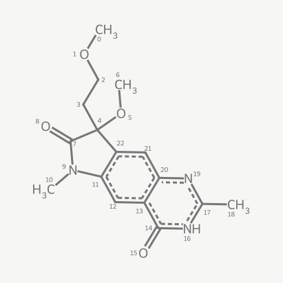 COCCC1(OC)C(=O)N(C)c2cc3c(=O)[nH]c(C)nc3cc21